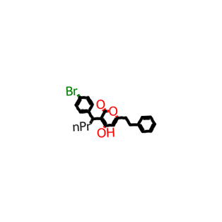 CCCC(c1ccc(Br)cc1)c1c(O)cc(CCc2ccccc2)oc1=O